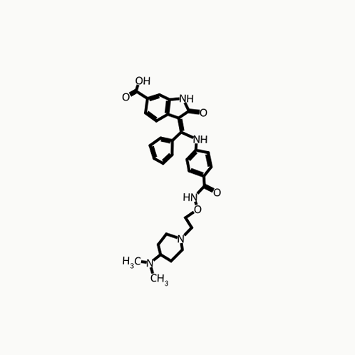 CN(C)C1CCN(CCONC(=O)c2ccc(N/C(=C3\C(=O)Nc4cc(C(=O)O)ccc43)c3ccccc3)cc2)CC1